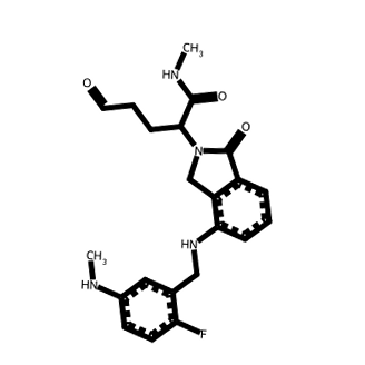 CNC(=O)C(CCC=O)N1Cc2c(NCc3cc(NC)ccc3F)cccc2C1=O